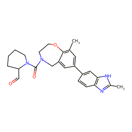 Cc1nc2ccc(-c3cc(C)c4c(c3)CN(C(=O)N3CCCCC3C=O)CCO4)cc2[nH]1